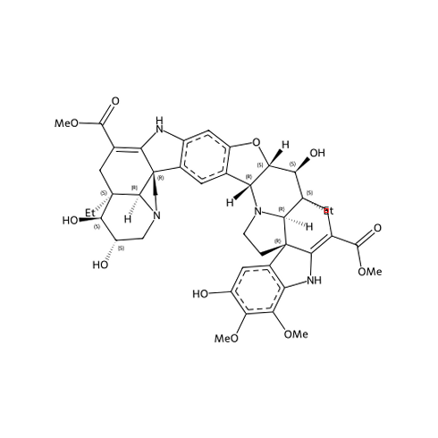 CC[C@@]12CC(C(=O)OC)=C3Nc4cc5c(cc4[C@@]34CCN(C[C@H](O)[C@H]1O)[C@@H]24)[C@@H]1[C@H](O5)[C@@H](O)[C@@]2(CC)CC(C(=O)OC)=C3Nc4c(cc(O)c(OC)c4OC)[C@@]34CCN1[C@@H]24